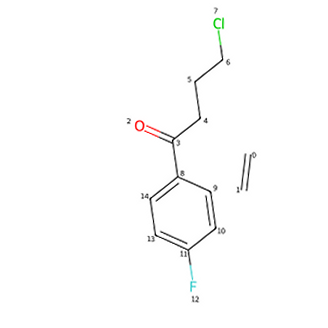 C=C.O=C(CCCCl)c1ccc(F)cc1